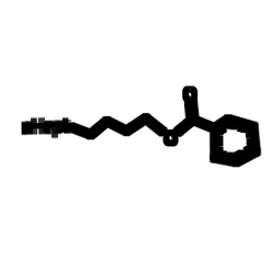 CCCCCCCCCCCOC(=O)c1ccccc1